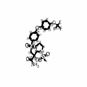 CS(=O)(=O)N1CCC[C@@H]1[C@@](O)(CS(=O)(=O)c1ccc(Oc2ccc(OC(F)(F)F)cc2)cc1)C(N)=O